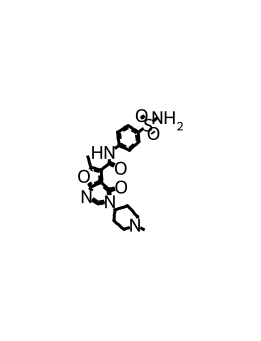 Cc1oc2ncn(C3CCN(C)CC3)c(=O)c2c1C(=O)Nc1ccc(S(N)(=O)=O)cc1